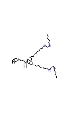 CCCCC/C=C\C/C=C\CCCCCCCCOCC(COCCCCCCCC/C=C\C/C=C\CCCCC)NCCCn1ccnc1